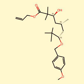 C=CCOC(=O)C(C)(C)[C@@H](O)C[C@H](C)C[C@H](OCc1ccc(OC)cc1)C(C)(C)C